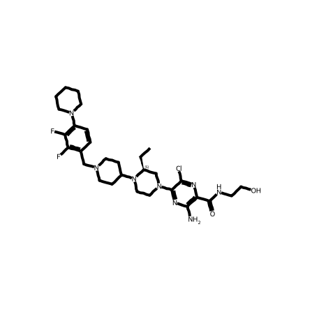 CC[C@H]1CN(c2nc(N)c(C(=O)NCCO)nc2Cl)CCN1C1CCN(Cc2ccc(N3CCCCC3)c(F)c2F)CC1